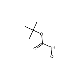 CC(C)(C)OC(=O)N[O]